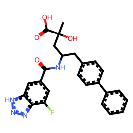 CC(O)(CC(Cc1ccc(-c2ccccc2)cc1)NC(=O)c1cc(F)c2nn[nH]c2c1)C(=O)O